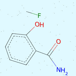 CF.NC(=O)c1ccccc1O